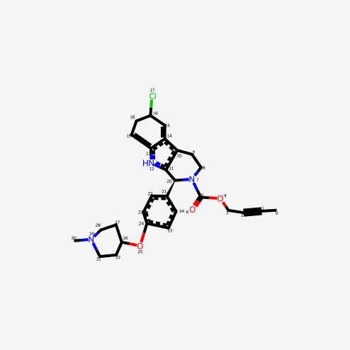 CC#CCOC(=O)N1CCc2c([nH]c3c2=CC(Cl)CC=3)[C@@H]1c1ccc(OC2CCN(C)CC2)cc1